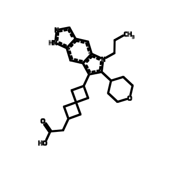 CCCn1c(C2CCOCC2)c(C2CC3(CC(CC(=O)O)C3)C2)c2cc3[nH]ncc3cc21